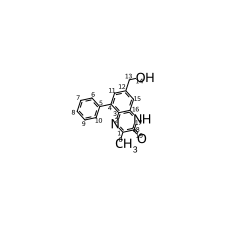 Cc1nc2c(-c3ccccc3)cc(CO)cc2[nH]c1=O